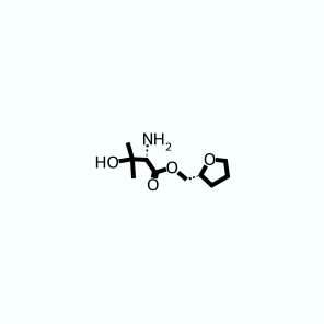 CC(C)(O)[C@H](N)C(=O)OC[C@H]1CCCO1